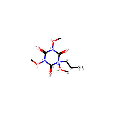 CON1C(=O)N(OC)C(=O)[N+](CC[SiH3])(OC)C1=O